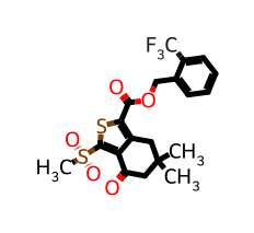 CC1(C)CC(=O)c2c(S(C)(=O)=O)sc(C(=O)OCc3ccccc3C(F)(F)F)c2C1